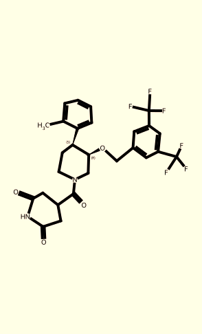 Cc1ccccc1[C@@H]1CCN(C(=O)C2CC(=O)NC(=O)C2)C[C@@H]1OCc1cc(C(F)(F)F)cc(C(F)(F)F)c1